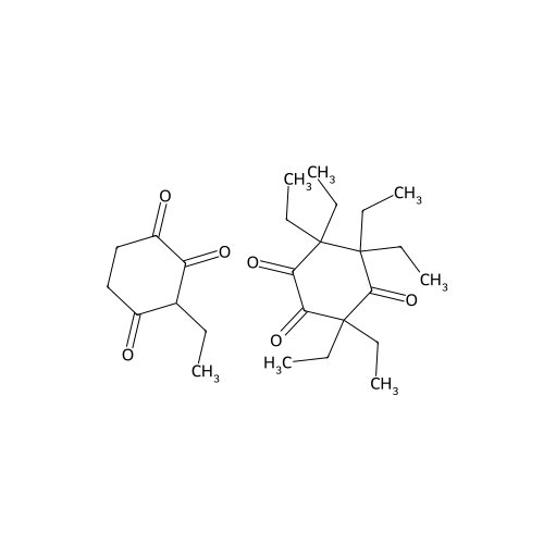 CCC1(CC)C(=O)C(=O)C(CC)(CC)C(CC)(CC)C1=O.CCC1C(=O)CCC(=O)C1=O